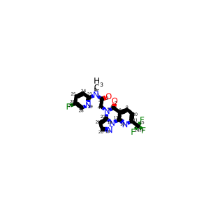 CN(C(=O)Cn1c(=O)c2ccc(C(F)(F)F)nc2n2nccc12)c1ccc(F)cn1